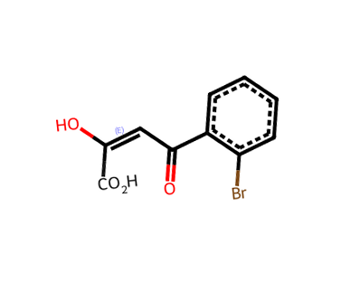 O=C(O)/C(O)=C\C(=O)c1ccccc1Br